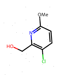 COc1ccc(Cl)c(CO)n1